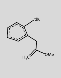 C=C(Cc1ccccc1C(C)(C)C)OC